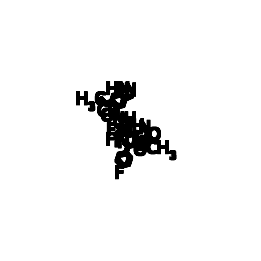 CC(C)c1cc2[nH]ncc2cc1C(=O)NCC(O)(c1cc2c(c(-c3ccc(F)cc3)n1)OC(C)[C@@H]2C(N)=O)C(F)(F)F